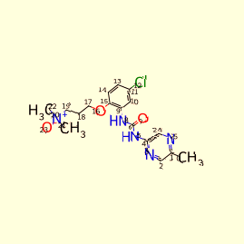 Cc1cnc(NC(=O)Nc2cc(Cl)ccc2OCCC[N+](C)(C)[O-])cn1